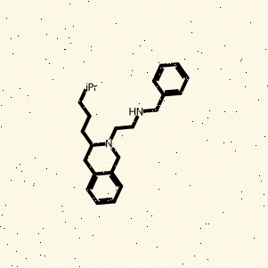 CC(C)CCCC1Cc2ccccc2CN1CCNCc1ccccc1